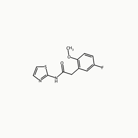 COc1ccc(F)cc1CC(=O)Nc1nccs1